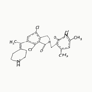 CC(=C1CCNCC1)c1cc(Cl)c2c(c1Cl)C(=O)N(Cc1c(C)cc(C)[nH]c1=O)CC2